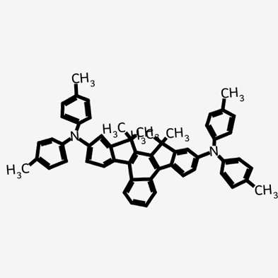 Cc1ccc(N(c2ccc(C)cc2)c2ccc3c(c2)C(C)(C)c2c4c(c5ccccc5c2-3)-c2ccc(N(c3ccc(C)cc3)c3ccc(C)cc3)cc2C4(C)C)cc1